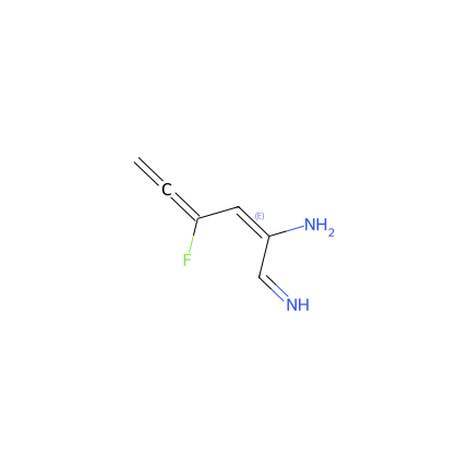 C=C=C(F)/C=C(/N)C=N